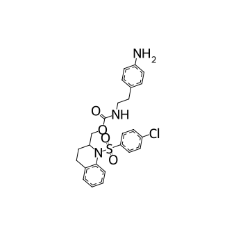 Nc1ccc(CCNC(=O)OCC2CCc3ccccc3N2S(=O)(=O)c2ccc(Cl)cc2)cc1